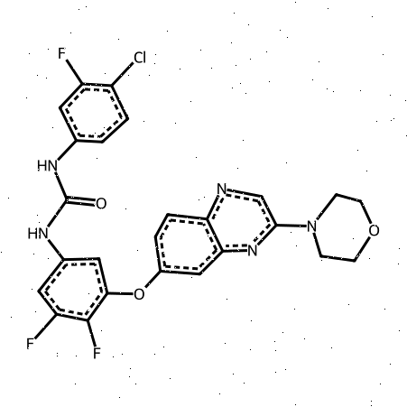 O=C(Nc1ccc(Cl)c(F)c1)Nc1cc(F)c(F)c(Oc2ccc3ncc(N4CCOCC4)nc3c2)c1